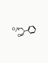 O=P[C@@H](C[N+](=O)[O-])c1ccccc1